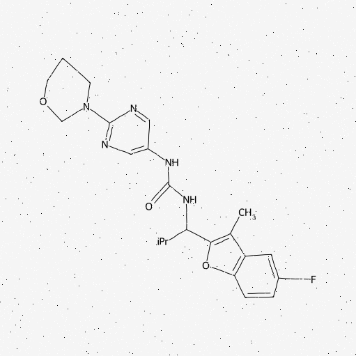 Cc1c(C(NC(=O)Nc2cnc(N3CCCOC3)nc2)C(C)C)oc2ccc(F)cc12